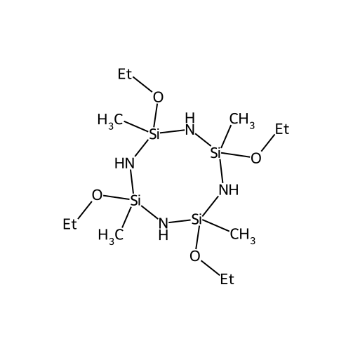 CCO[Si]1(C)N[Si](C)(OCC)N[Si](C)(OCC)N[Si](C)(OCC)N1